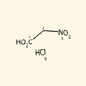 Cl.O=C(O)C[N+](=O)[O-]